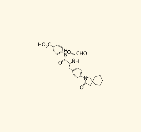 O=CC(=O)NC(Cc1ccc(N2CC3(CCCCC3)CC2=O)cc1)C(=O)Nc1ccc(C(=O)O)cc1